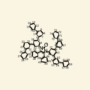 O=c1n(-c2cc(-c3cccc(-c4ccccc4)c3)cc(-c3cccc(-c4ccccc4)c3)c2)c(-c2ccccc2)c(-c2ccccc2)n1-c1cc(-c2cccc(-c3ccccc3)c2)cc(-c2cccc(-c3ccccc3)c2)c1